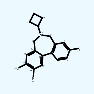 Cc1ccc2c(c1)CN(C1CCC1)Cc1cc(O)c(F)cc1-2